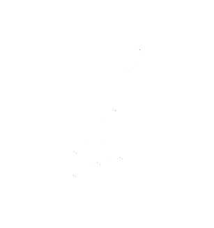 N#Cc1cccc(Cn2ccc3c4c(N)nc(N)nc4ccc32)c1